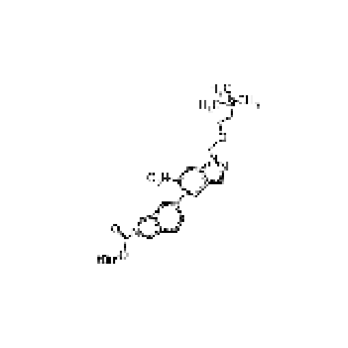 CC(C)(C)OC(=O)n1cc2ccc(-c3cc4cnn(COCC[Si](C)(C)C)c4cc3[N+](=O)[O-])cc2c1